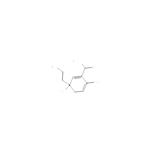 CCC1=CCC(C)(CCC(C)C)C=C1C(C)N